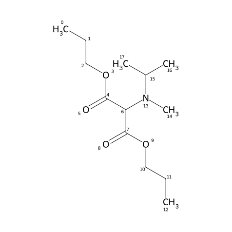 CCCOC(=O)C(C(=O)OCCC)N(C)C(C)C